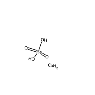 O=[Se](=O)(O)O.[CaH2]